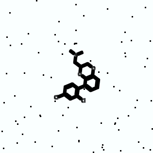 CN(C)CC1COc2cccc(-c3ccc(Cl)cc3Cl)c2O1